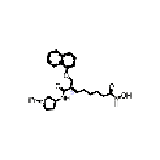 CC(C)N1CCC(NC(=O)/C(=C/CCCCC(=O)NO)COc2cccc3ccccc23)C1